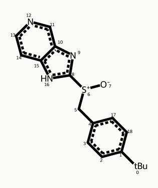 CC(C)(C)c1ccc(C[S+]([O-])c2nc3cnccc3[nH]2)cc1